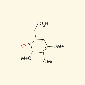 COC1=C(OC)C(OC)C(=O)C(CC(=O)O)=C1